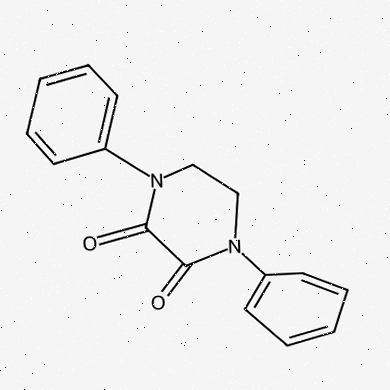 O=C1C(=O)N(c2ccccc2)CCN1c1ccccc1